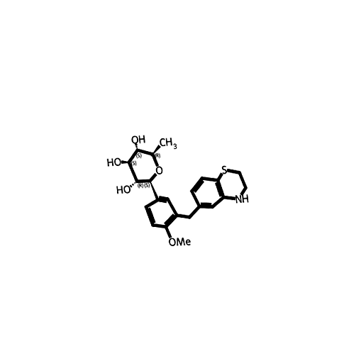 COc1ccc([C@@H]2O[C@H](C)[C@@H](O)[C@H](O)[C@H]2O)cc1Cc1ccc2c(c1)NCCS2